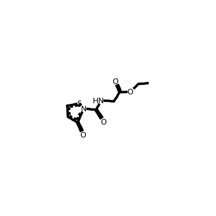 CCOC(=O)CNC(=O)n1sccc1=O